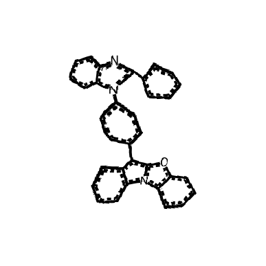 c1ccc(-c2nc3ccccc3n2-c2ccc(-c3c4ccccc4n4c3oc3ccccc34)cc2)cc1